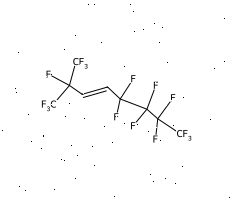 FC(F)(F)C(F)(F)C(F)(F)C(F)(F)C=CC(F)(C(F)(F)F)C(F)(F)F